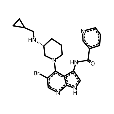 O=C(Nc1c[nH]c2ncc(Br)c(N3CCC[C@@H](NCC4CC4)C3)c12)c1cccnc1